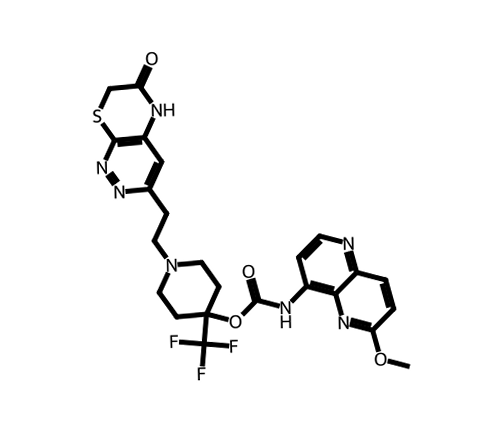 COc1ccc2nccc(NC(=O)OC3(C(F)(F)F)CCN(CCc4cc5c(nn4)SCC(=O)N5)CC3)c2n1